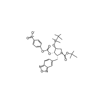 CC(C)(C)OC(=O)N1C[C@H](O[Si](C)(C)C(C)(C)C)[C@@H](OC(=O)Oc2ccc([N+](=O)[O-])cc2)[C@H]1Cc1ccc2nonc2c1